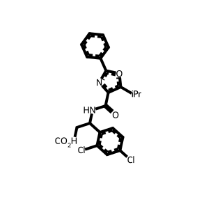 CC(C)c1oc(-c2ccccc2)nc1C(=O)NC(CC(=O)O)c1ccc(Cl)cc1Cl